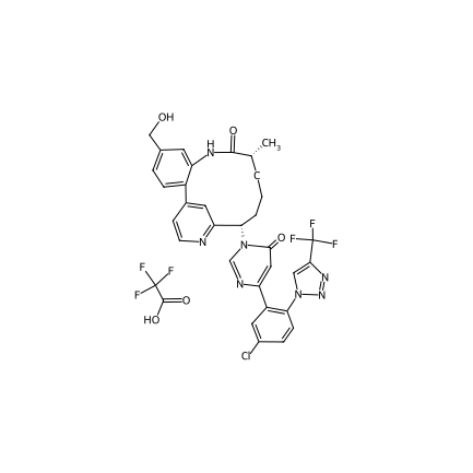 C[C@@H]1CCC[C@H](n2cnc(-c3cc(Cl)ccc3-n3cc(C(F)(F)F)nn3)cc2=O)c2cc(ccn2)-c2ccc(CO)cc2NC1=O.O=C(O)C(F)(F)F